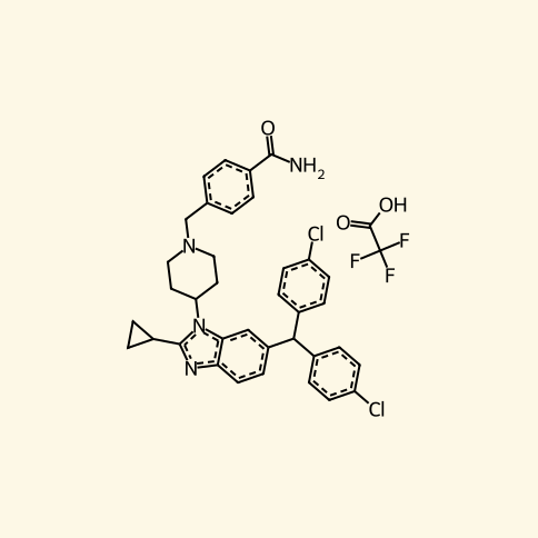 NC(=O)c1ccc(CN2CCC(n3c(C4CC4)nc4ccc(C(c5ccc(Cl)cc5)c5ccc(Cl)cc5)cc43)CC2)cc1.O=C(O)C(F)(F)F